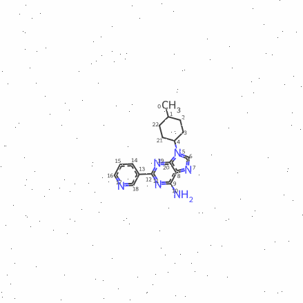 CC1CCC(n2cnc3c(N)nc(-c4cccnc4)nc32)CC1